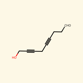 O=CCCC#CCC#CCO